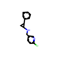 Clc1ccc(CNC2CC2c2ccccc2)cn1